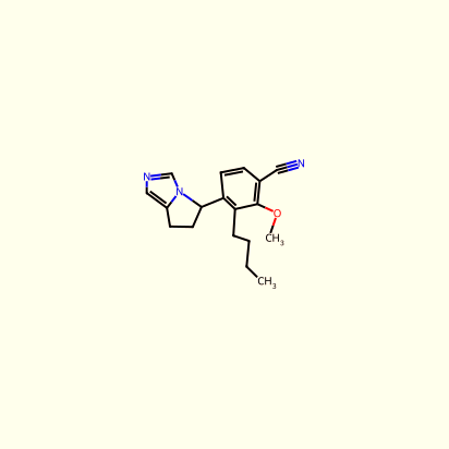 CCCCc1c(C2CCc3cncn32)ccc(C#N)c1OC